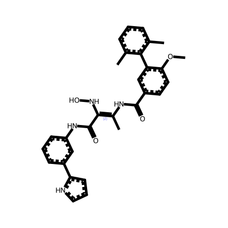 COc1ccc(C(=O)N/C(C)=C(\NO)C(=O)Nc2cccc(-c3ccc[nH]3)c2)cc1-c1c(C)cccc1C